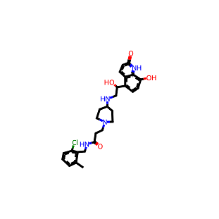 Cc1cccc(Cl)c1CNC(=O)CCN1CCC(NCC(O)c2ccc(O)c3[nH]c(=O)ccc23)CC1